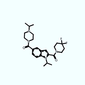 CC(C)N1CCN(C(=O)c2ccc3c(c2)cc(C(=O)N2CCC(F)(F)CC2)n3C(C)C)CC1